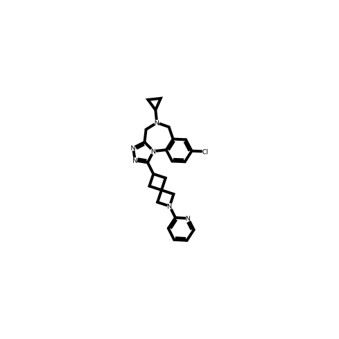 Clc1ccc2c(c1)CN(C1CC1)Cc1nnc(C3CC4(C3)CN(c3ccccn3)C4)n1-2